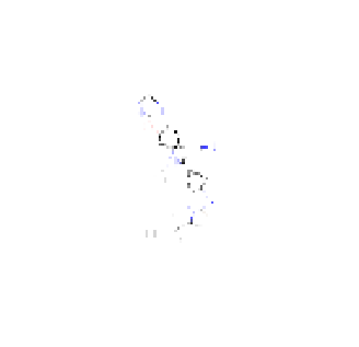 CC(C)(C)c1csc(Nc2ccc(-c3c(C#N)c4ccc(Oc5ncccn5)cc4n3C3CCC3)cc2)n1